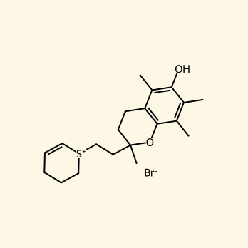 Cc1c(C)c2c(c(C)c1O)CCC(C)(CC[S+]1C=CCCC1)O2.[Br-]